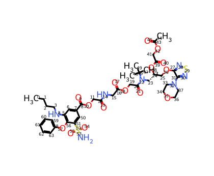 CCCCNc1cc(C(=O)OCC(=O)NCC(=O)OCC(=O)N(C[C@@H](COc2nsnc2N2CCOCC2)OC(=O)COC(C)=O)C(C)(C)C)cc(S(N)(=O)=O)c1Oc1ccccc1